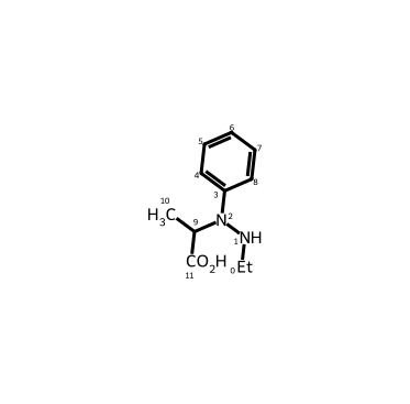 CCNN(c1ccccc1)C(C)C(=O)O